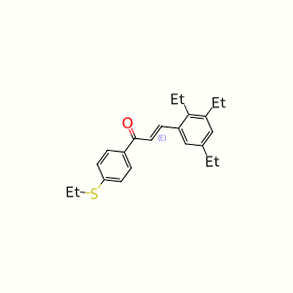 CCSc1ccc(C(=O)/C=C/c2cc(CC)cc(CC)c2CC)cc1